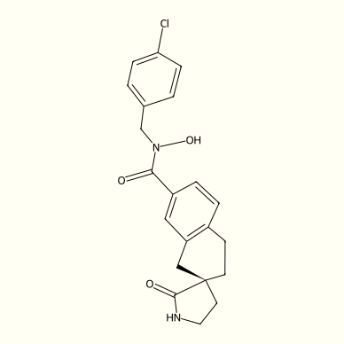 O=C(c1ccc2c(c1)C[C@]1(CCNC1=O)CC2)N(O)Cc1ccc(Cl)cc1